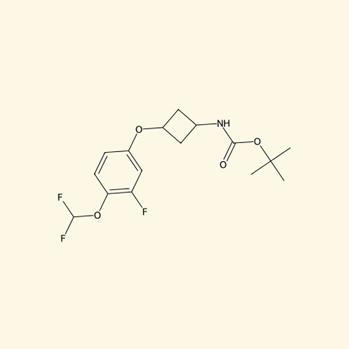 CC(C)(C)OC(=O)NC1CC(Oc2ccc(OC(F)F)c(F)c2)C1